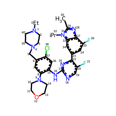 CCN1CCN(Cc2cc(N3CCOCC3)c(Nc3ncc(F)c(-c4cc(F)c5nc(C)n(C(C)C)c5c4)n3)cc2Cl)CC1